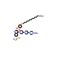 CCCCCCCCCCCCCCCCCCCCCCOc1ccc(S(=O)(=O)c2cnc3ccc([S+](C)[O-])cc3c2N2CCC(N3CCC(N4CCN(CCCC)CC4)CC3)CC2)cc1